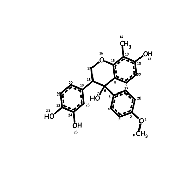 COc1ccc(C2(O)c3ccc(O)c(C)c3OCC2c2ccc(O)c(O)c2)cc1